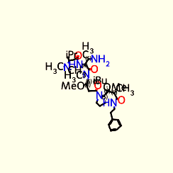 CC[C@H](C)[C@@H]([C@@H](CC(=O)N1CCC[C@H]1[C@H](OC)[C@@H](C)C(=O)NCCc1ccccc1)OC)N(C)C(=O)[C@H](NC(=O)C(C(C)C)N(C)C)[C@H](C)N